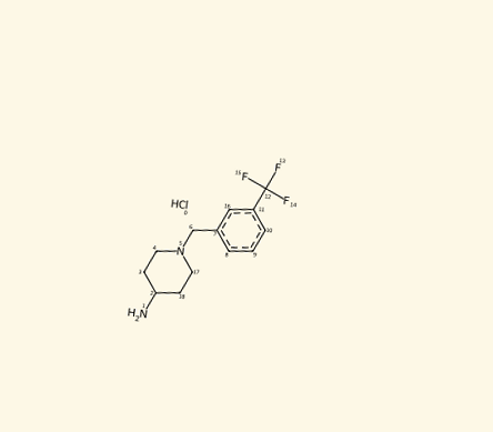 Cl.NC1CCN(Cc2cccc(C(F)(F)F)c2)CC1